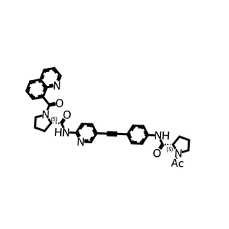 CC(=O)N1CCC[C@H]1C(=O)Nc1ccc(C#Cc2ccc(NC(=O)[C@@H]3CCCN3C(=O)c3cccc4cccnc34)nc2)cc1